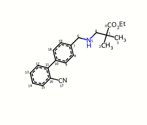 CCOC(=O)C(C)(C)CNCc1ccc(-c2ccccc2C#N)cc1